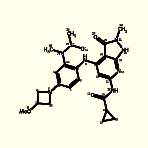 COC1CN(c2ccc(Nc3cc(NC(=O)C4CC4)nc4[nH]n(C)c(=O)c34)c(N(C)[S+](C)[O-])c2)C1